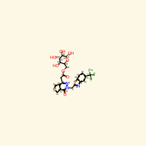 O=C(Cc1nn(Cc2nc3cc(C(F)(F)F)ccc3s2)c(=O)c2cscc12)OCC1O[C@H](O)[C@H](O)[C@@H](O)[C@@H]1O